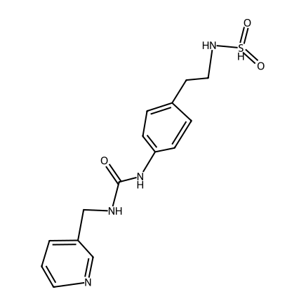 O=C(NCc1cccnc1)Nc1ccc(CCN[SH](=O)=O)cc1